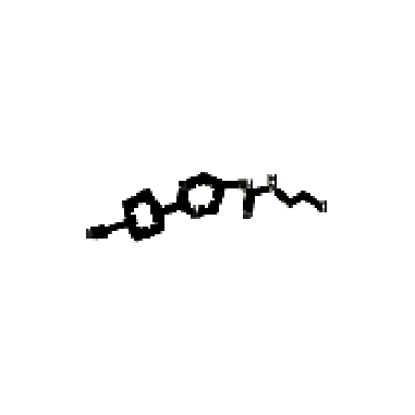 N#Cc1ccc(-c2ncc(NC(=O)NCCCl)cn2)cc1